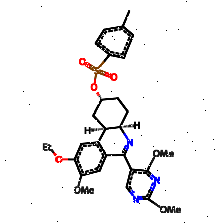 CCOc1cc2c(cc1OC)C(c1cnc(OC)nc1OC)=N[C@@H]1CC[C@@H](OS(=O)(=O)c3ccc(C)cc3)C[C@H]21